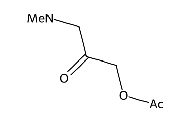 CNCC(=O)COC(C)=O